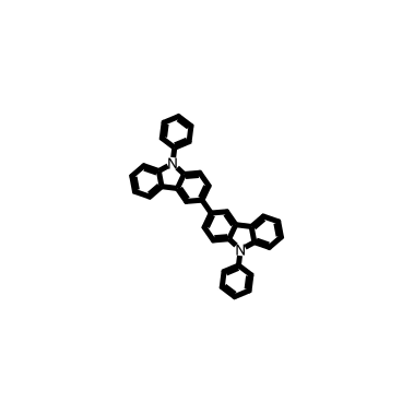 c1ccc(-n2c3ccccc3c3cc(-c4ccc5c(c4)c4ccccc4n5-c4ccccc4)ccc32)cc1